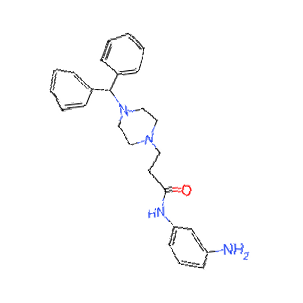 Nc1cccc(NC(=O)CCN2CCN(C(c3ccccc3)c3ccccc3)CC2)c1